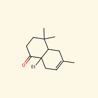 CCC12CC=C(C)CC1C(C)(C)CCC2=O